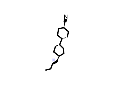 CC/C=C/[C@H]1CC[C@H]([C@H]2CC[C@H](C#N)CC2)CC1